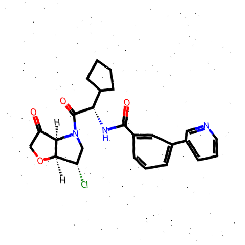 O=C(N[C@H](C(=O)N1C[C@H](Cl)[C@H]2OCC(=O)[C@H]21)C1CCCC1)c1cccc(-c2cccnc2)c1